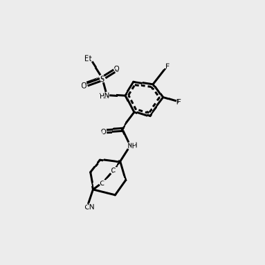 CCS(=O)(=O)Nc1cc(F)c(F)cc1C(=O)NC12CCC(C#N)(CC1)CC2